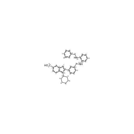 O=C(O)c1ccc2c(c1)nc(-c1cccc(CNc3ccccc3NCc3cccnc3)c1)n2C1CCCCC1